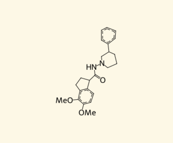 COc1ccc2c(c1OC)CCC2C(=O)NN1CCCC(c2ccccc2)C1